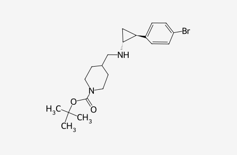 CC(C)(C)OC(=O)N1CCC(CN[C@@H]2C[C@H]2c2ccc(Br)cc2)CC1